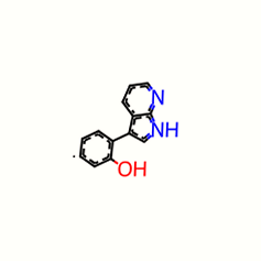 Oc1c[c]ccc1-c1c[nH]c2ncccc12